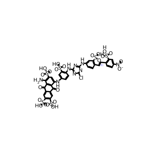 Nc1c(S(=O)(=O)O)cc(Nc2ccc(Nc3nc(Cl)nc(Nc4ccc(/C=C/c5ccc([N+](=O)[O-])cc5S(=O)(=O)O)c(S(=O)(=O)O)c4)n3)c(S(=O)(=O)O)c2)c2c1C(=O)c1cc(S(=O)(=O)O)c(S(=O)(=O)O)cc1C2=O